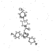 O=C(Cn1nc(-c2ccc(F)cc2)nc1-c1ccc(F)cc1)N1CCC(c2ncc(Cl)cn2)CC1